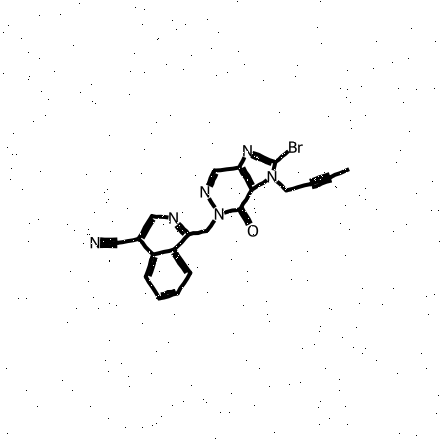 CC#CCn1c(Br)nc2cnn(Cc3ncc(C#N)c4ccccc34)c(=O)c21